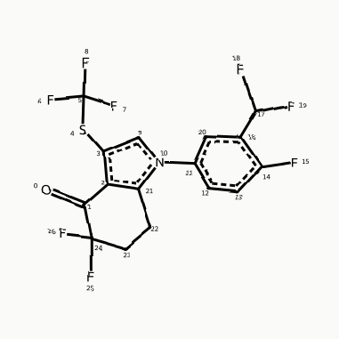 O=C1c2c(SC(F)(F)F)cn(-c3ccc(F)c(C(F)F)c3)c2CCC1(F)F